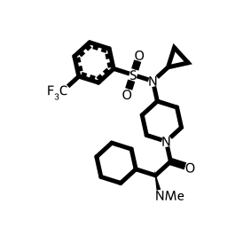 CN[C@H](C(=O)N1CCC(N(C2CC2)S(=O)(=O)c2cccc(C(F)(F)F)c2)CC1)C1CCCCC1